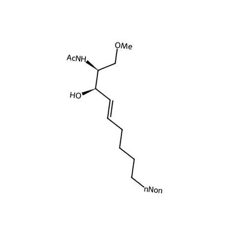 CCCCCCCCCCCCC/C=C/[C@@H](O)[C@H](COC)NC(C)=O